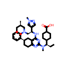 CC[C@H](C1CCC(C(=O)O)CC1)N(C)c1nc2c(c(N[C@@H](CN3CCC[C@@H](C)C3)c3cnn(C)c3)n1)C[C@H](c1ccccc1)CC2